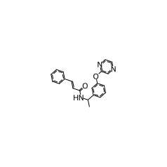 CC(NC(=O)C=Cc1ccccc1)c1cccc(Oc2cnccn2)c1